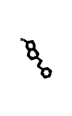 Brc1ccc2cc(C=Cc3ccccc3)ccc2c1